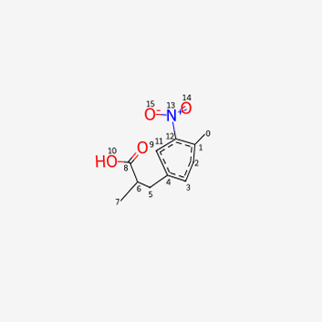 Cc1ccc(CC(C)C(=O)O)cc1[N+](=O)[O-]